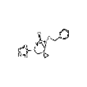 O=C1N(OCc2ccccc2)C2CN1[C@H](c1nnco1)CC21CC1